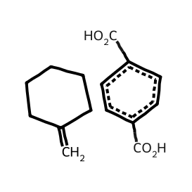 C=C1CCCCC1.O=C(O)c1ccc(C(=O)O)cc1